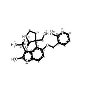 Cc1oc2ccc(OCc3cccnc3O)c(C3(CO)CCNC3=O)c2c1C(N)=O